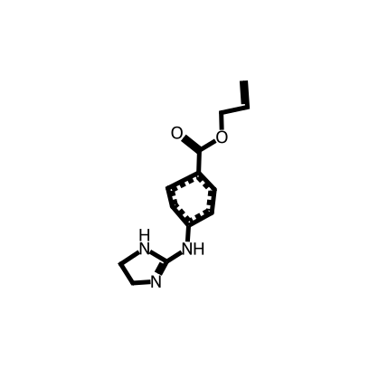 C=CCOC(=O)c1ccc(NC2=NCCN2)cc1